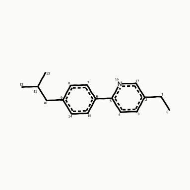 CCc1ccc(-c2ccc(CC(C)C)cc2)nc1